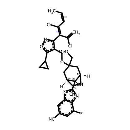 C=C(Cl)/C(=C(Cl)\C=C/C)c1noc(C2CC2)c1COC1(COC)C[C@H]2C[C@H](C)[C@@H](C1)[C@]2(O)c1nc2c(F)cc(C#N)cc2s1